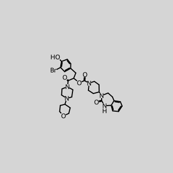 O=C(OC(Cc1ccc(O)c(Br)c1)C(=O)N1CCN(C2CCOCC2)CC1)N1CCC(N2CCc3ccccc3NC2=O)CC1